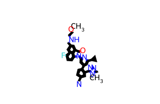 COCCNCc1cc2c3c(ccc(F)c3c1)N(c1cc(-c3ccc(C#N)cc3-c3nncn3C)cc(C3CC3)n1)C2=O